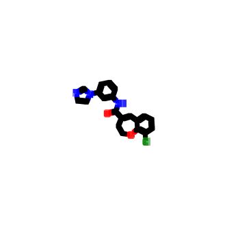 O=C(Nc1cccc(-n2ccnc2)c1)C1=Cc2cccc(Cl)c2OCC1